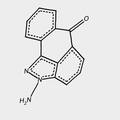 Nn1nc2c3c(cccc31)C(=O)c1ccccc1-2